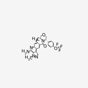 C[C@@H]1COC[C@H](c2ccc(OC(F)(F)F)cc2)N1C(=O)c1cc2c(cc1F)nc(N)c1c2cnn1C